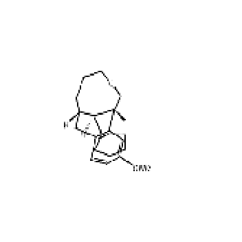 COc1ccc2c(c1)[C@@]1(C)CCCCC[C@@H](C2)[C@@H]1N1CCCC1